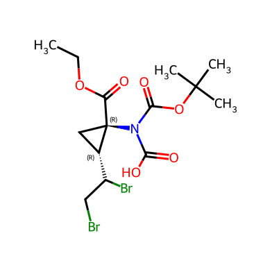 CCOC(=O)[C@@]1(N(C(=O)O)C(=O)OC(C)(C)C)C[C@H]1C(Br)CBr